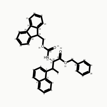 CC(c1cccc2ccccc12)[C@H](NC(=O)OCC1c2ccccc2-c2ccccc21)C(=O)OCc1ccccc1